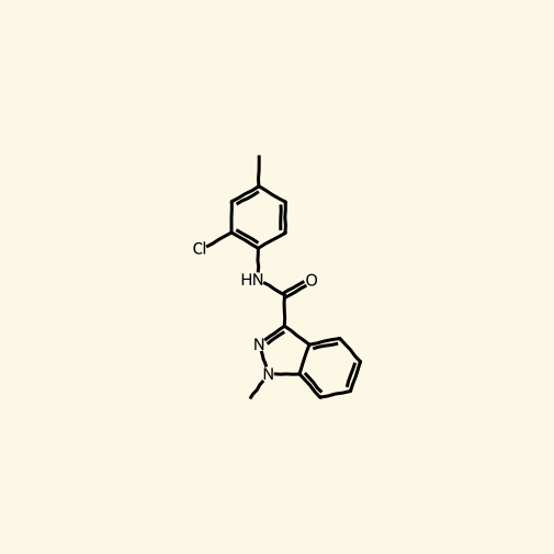 Cc1ccc(NC(=O)c2nn(C)c3ccccc23)c(Cl)c1